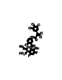 CC(C)(C)OC(=O)N(C(=O)O)c1c(F)cc(F)c(C(C)(C)C)c1NC(=O)c1cc(NC(=O)[C@H]2[C@H](c3cc(Cl)c(Cl)c(Cl)c3)C2(Cl)Cl)ccc1Cl